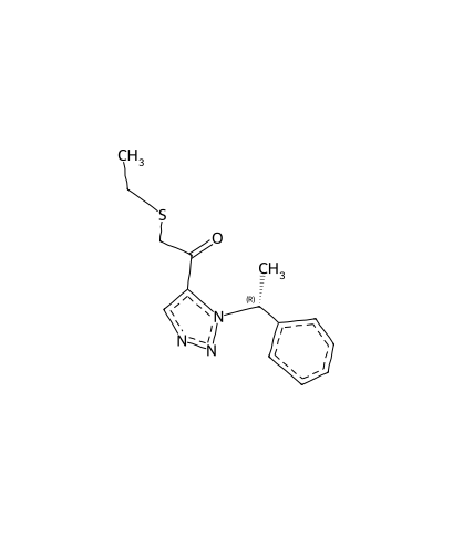 CCSCC(=O)c1cnnn1[C@H](C)c1ccccc1